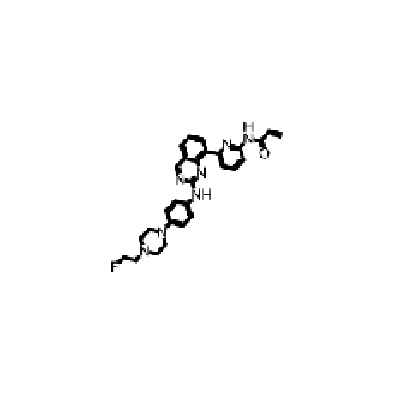 C=CC(=O)Nc1cccc(-c2cccc3cnc(Nc4ccc(N5CCN(CCF)CC5)cc4)nc23)n1